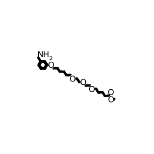 COC(=O)CCCCOCCOCCOCCCCCCOc1cccc(CN)c1